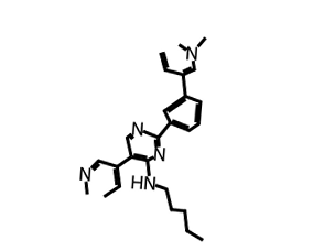 C=C/C(=C\N(C)C)c1cccc(-c2ncc(C(/C=N\C)=C/C)c(NCCCCC)n2)c1